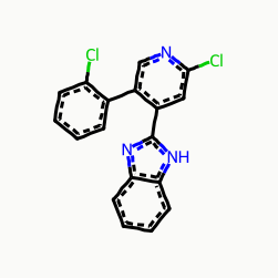 Clc1cc(-c2nc3ccccc3[nH]2)c(-c2ccccc2Cl)cn1